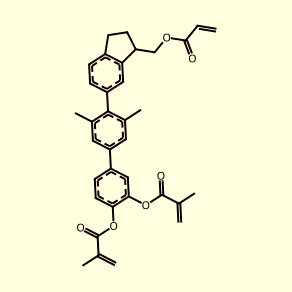 C=CC(=O)OCC1CCc2ccc(-c3c(C)cc(-c4ccc(OC(=O)C(=C)C)c(OC(=O)C(=C)C)c4)cc3C)cc21